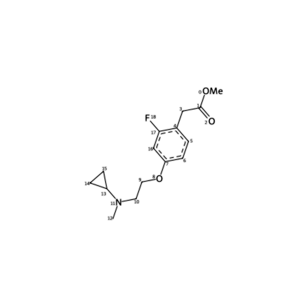 COC(=O)Cc1ccc(OCCN(C)C2CC2)cc1F